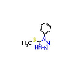 CSC1NN=NN1c1ccccc1